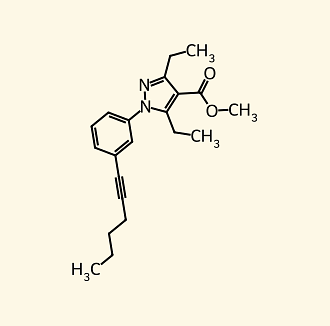 CCCCC#Cc1cccc(-n2nc(CC)c(C(=O)OC)c2CC)c1